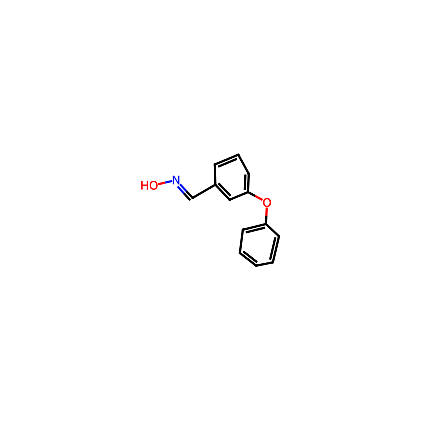 O/N=C/c1cccc(Oc2ccccc2)c1